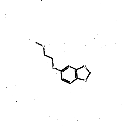 COCCOc1ccc2c(c1)OCO2